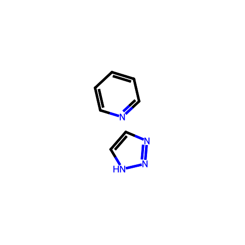 c1c[nH]nn1.c1ccncc1